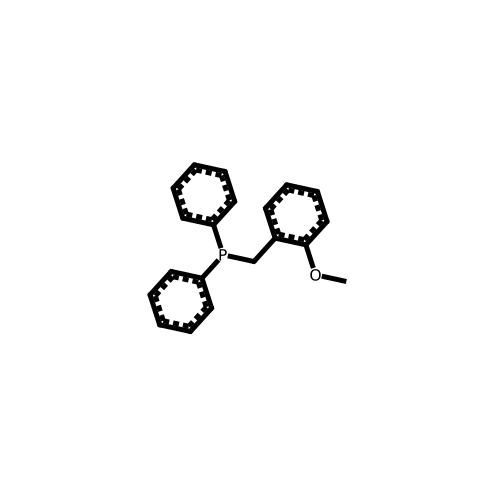 COc1ccccc1CP(c1ccccc1)c1ccccc1